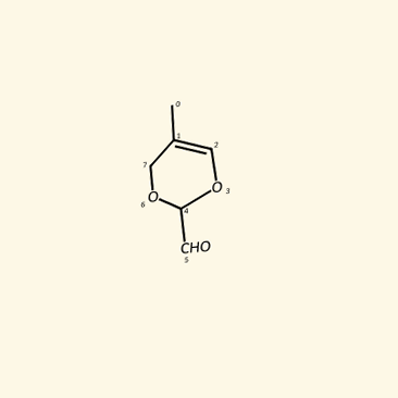 CC1=COC(C=O)OC1